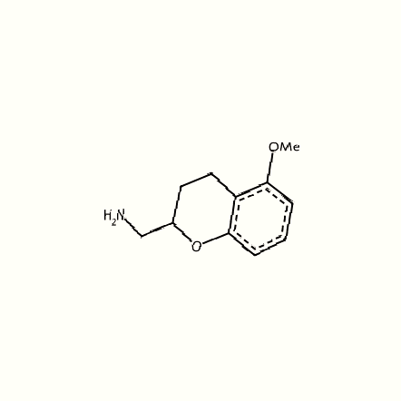 COc1cccc2c1CCC(CN)O2